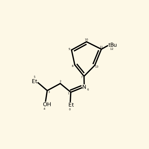 CCC(CC(O)CC)=Nc1cccc(C(C)(C)C)c1